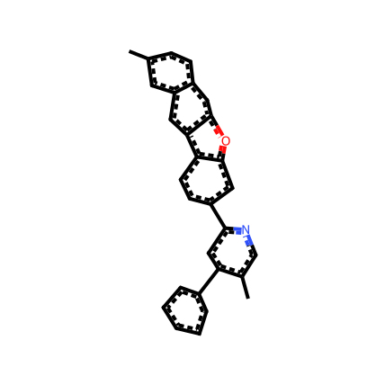 Cc1ccc2cc3oc4cc(-c5cc(-c6ccccc6)c(C)cn5)ccc4c3cc2c1